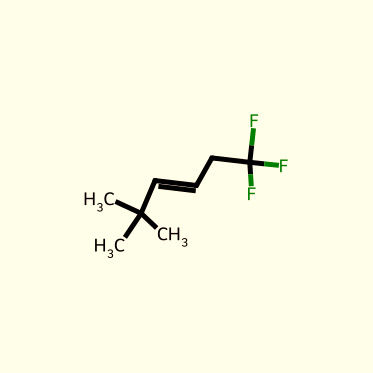 CC(C)(C)/C=C/CC(F)(F)F